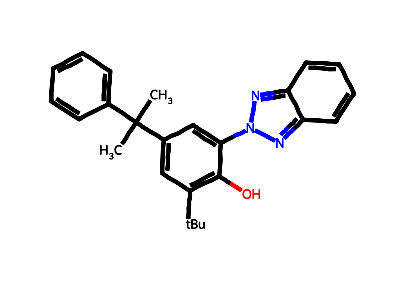 CC(C)(C)c1cc(C(C)(C)c2ccccc2)cc(-n2nc3ccccc3n2)c1O